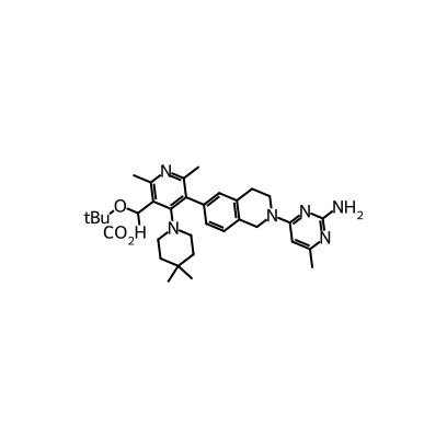 Cc1cc(N2CCc3cc(-c4c(C)nc(C)c(C(OC(C)(C)C)C(=O)O)c4N4CCC(C)(C)CC4)ccc3C2)nc(N)n1